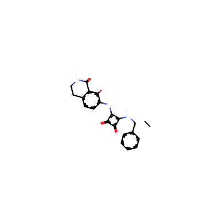 CC[C@@H](Nc1c(Nc2ccc3c(c2O)C(=O)NCC3)c(=O)c1=O)c1ccccc1